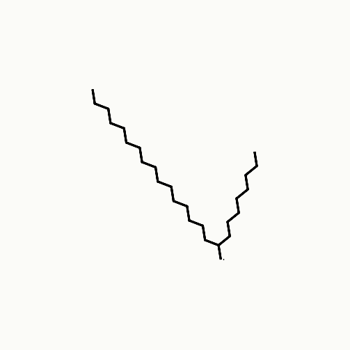 [CH2]C(CCCCCCCC)CCCCCCCCCCCCCCCC